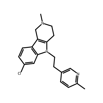 Cc1ccc(CCn2c3c(c4ccc(Cl)cc42)CN(C)CC3)cn1